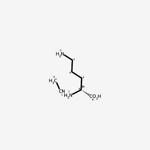 CC#N.NCCC[C@@H](N)C(=O)O